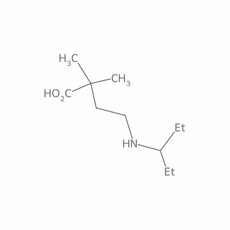 CCC(CC)NCCC(C)(C)C(=O)O